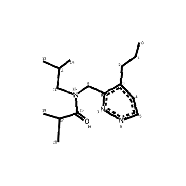 CCCc1ccnnc1CN(CC(C)C)C(=O)C(C)C